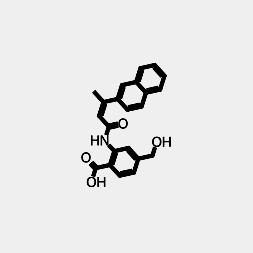 C/C(=C/C(=O)Nc1cc(CO)ccc1C(=O)O)c1ccc2ccccc2c1